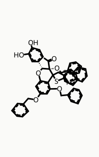 CC(=O)[C@]1(OCc2ccccc2)[C@@H](c2ccc(O)c(O)c2)Oc2cc(OCc3ccccc3)cc(OCc3ccccc3)c2C1(Cc1ccccc1)Sc1nc2ccccc2s1